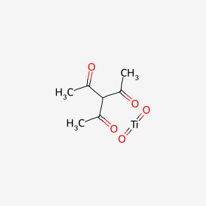 CC(=O)C(C(C)=O)C(C)=O.[O]=[Ti]=[O]